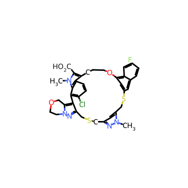 Cn1nc2cc1CSc1cc(c3cc(F)ccc3c1)OCCCc1c(C(=O)O)n(C)c3c(c(Cl)ccc13)-c1c(nn3c1COCC3)CSC2